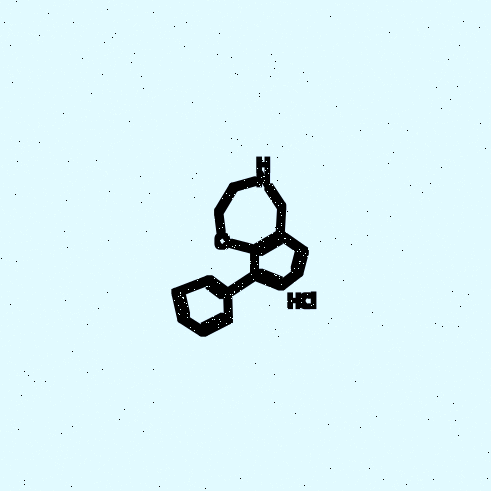 Cl.c1ccc(-c2cccc3c2OCCNC3)cc1